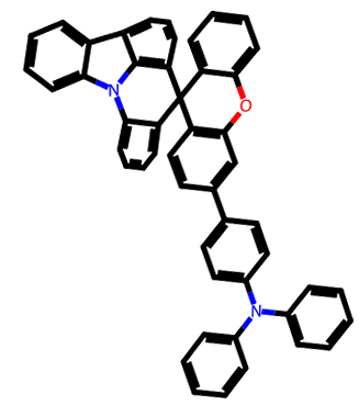 c1ccc(N(c2ccccc2)c2ccc(-c3ccc4c(c3)Oc3ccccc3C43c4ccccc4-n4c5ccccc5c5cccc3c54)cc2)cc1